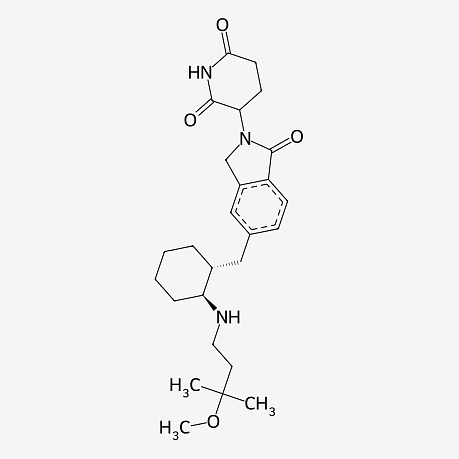 COC(C)(C)CCN[C@H]1CCCC[C@@H]1Cc1ccc2c(c1)CN(C1CCC(=O)NC1=O)C2=O